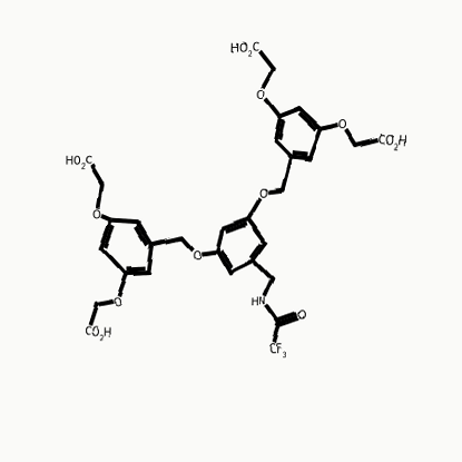 O=C(O)COc1cc(COc2cc(CNC(=O)C(F)(F)F)cc(OCc3cc(OCC(=O)O)cc(OCC(=O)O)c3)c2)cc(OCC(=O)O)c1